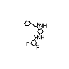 CC(Nc1ccc2[nH]nc(C=Cc3ccccc3)c2c1)c1cc(F)cc(F)c1